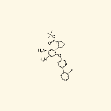 CC(C)(C)OC(=O)N1CCCC1c1cc(N)c(N)cc1Oc1ccc(-c2ccccc2F)cc1